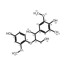 COc1cc(O)ccc1OC(CO)C(O)c1cc(C)c(O)c(OC)c1